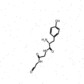 N[C@@H](Cc1ccc(O)cc1)C(=O)NCC(=O)NC[C]=O